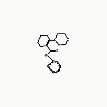 S=C(Nc1ccccc1)C1=C(N2CCOCC2)CCCC1